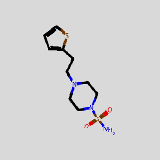 NS(=O)(=O)N1CCN(CCc2cccs2)CC1